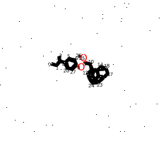 CCC(C)c1ccc(OC(CC23CC4CC5C6CC(CC52)CC3C6C4)OC)cc1